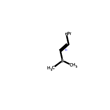 CCC/C=C/B(C)C